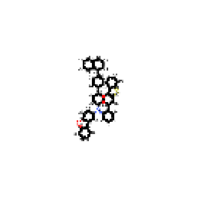 c1ccc(N(c2ccc(-c3ccc(-c4cccc5ccccc45)cc3)cc2)c2ccc3oc4ccccc4c3c2)c(-c2ccc3c(c2)sc2ccccc23)c1